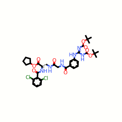 CC(C)(C)OC(=O)/N=C(\NC(=O)OC(C)(C)C)Nc1cccc(C(=O)NCC(=O)NC[C@H](NC(=O)c2c(Cl)cccc2Cl)C(=O)OC2CCCC2)c1